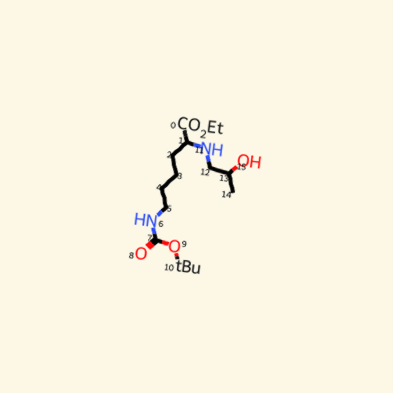 CCOC(=O)C(CCCCNC(=O)OC(C)(C)C)NCC(C)O